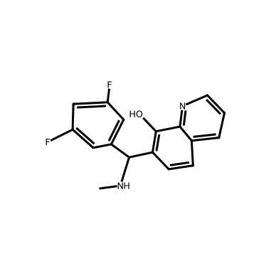 CNC(c1cc(F)cc(F)c1)c1ccc2cccnc2c1O